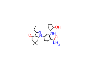 CCc1nn(-c2ccc(C(N)=O)c(NC3CCCC3O)c2)c2c1C(=O)CC(C)(C)C2